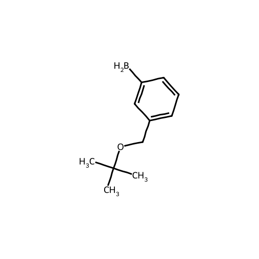 Bc1cccc(COC(C)(C)C)c1